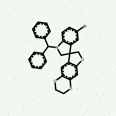 Brc1ccc2c(c1)C1(COc3cc4c(cc31)OCCO4)CN2C(c1ccccc1)c1ccccc1